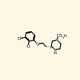 O=C(O)N1CCN[C@H](CCOc2cccc(Cl)c2Cl)C1